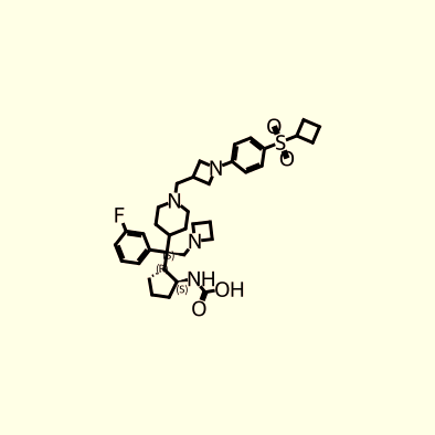 O=C(O)N[C@H]1CCC[C@@H]1[C@](CN1CCC1)(c1cccc(F)c1)C1CCN(CC2CN(c3ccc(S(=O)(=O)C4CCC4)cc3)C2)CC1